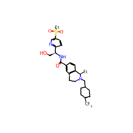 CC[C@@H]1c2ccc(C(=O)N[C@@H](CO)c3ccc(S(=O)(=O)CC)cn3)cc2CCN1CC1CCC(C(F)(F)F)CC1